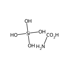 NC(=O)O.O[Si](O)(O)O